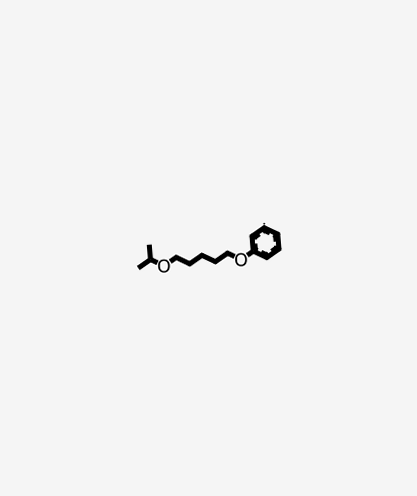 CC(C)OCCCCCOc1c[c]ccc1